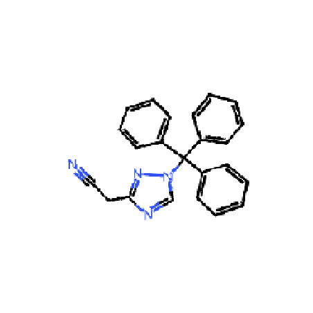 N#CCc1ncn(C(c2ccccc2)(c2ccccc2)c2ccccc2)n1